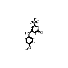 COc1ccc(Nc2cc(Cl)nc(S(C)(=O)=O)n2)cc1